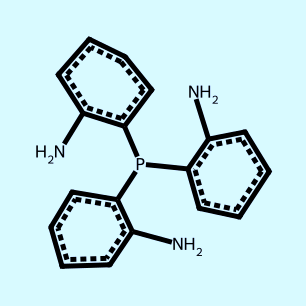 Nc1ccccc1P(c1ccccc1N)c1ccccc1N